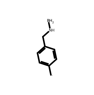 BNCc1ccc([CH2])cc1